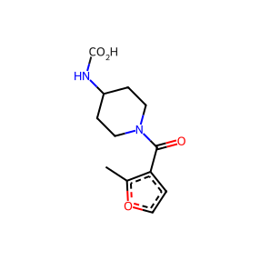 Cc1occc1C(=O)N1CCC(NC(=O)O)CC1